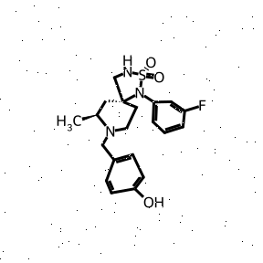 C[C@H]1C[C@]2(CCN1Cc1ccc(O)cc1)CNS(=O)(=O)N2c1cccc(F)c1